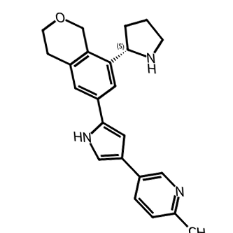 Cc1ccc(-c2c[nH]c(-c3cc4c(c([C@@H]5CCCN5)c3)COCC4)c2)cn1